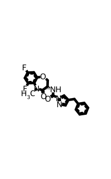 CN1C(=O)[C@@H](NC(=O)n2cc(Cc3ccccc3)cn2)COc2cc(F)cc(F)c21